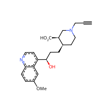 C#CCN1CC[C@@H](CC[C@@H](O)c2ccnc3ccc(OC)cc23)[C@@H](C(=O)O)C1